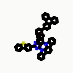 c1ccc(-c2nc(-c3ccc4c(c3)sc3ccccc34)nc(-n3c4ccccc4c4ccc5c6ccccc6n(-c6cccc(-c7cccc(-c8ccc9c%10ccccc%10c%10ccccc%10c9c8)c7)c6)c5c43)n2)cc1